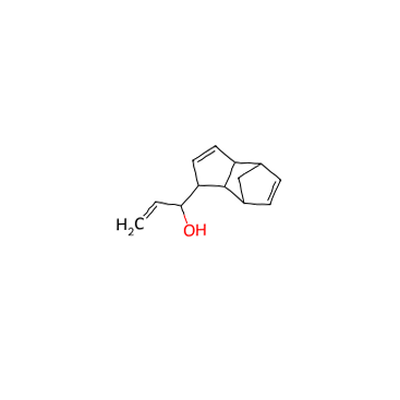 C=CC(O)C1C=CC2C3C=CC(C3)C12